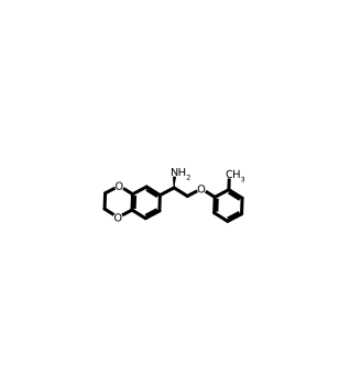 Cc1ccccc1OC[C@H](N)c1ccc2c(c1)OCCO2